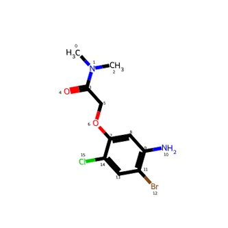 CN(C)C(=O)COc1cc(N)c(Br)cc1Cl